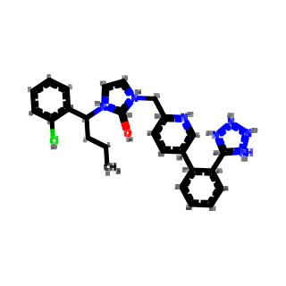 CCCC(c1ccccc1Cl)n1ccn(Cc2ccc(-c3ccccc3-c3nnn[nH]3)cn2)c1=O